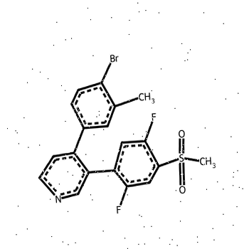 Cc1cc(-c2ccncc2-c2cc(F)c(S(C)(=O)=O)cc2F)ccc1Br